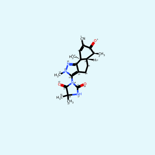 C[C@@H]1C(=O)C(C#N)=C[C@]2(C)c3nn(C)c(N4C(=O)NC(C)(C)C4=O)c3CC[C@@H]12